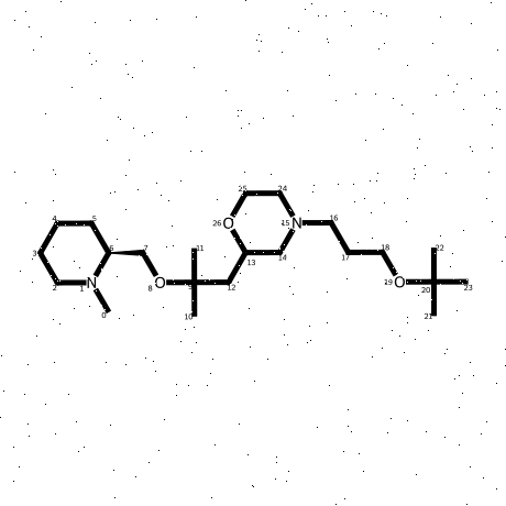 CN1CCCC[C@H]1COC(C)(C)CC1CN(CCCOC(C)(C)C)CCO1